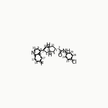 O=C(C[C@@H]1C[C@@H]2CC(c3ccnc4ccc(F)cc34)=C[C@@H]2C1)Nc1ccc(Cl)cc1